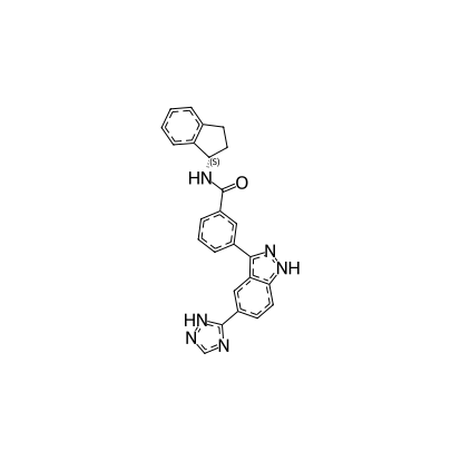 O=C(N[C@H]1CCc2ccccc21)c1cccc(-c2n[nH]c3ccc(-c4ncn[nH]4)cc23)c1